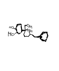 OCC1(c2ccc(O)c(O)c2)CCCC(CCc2ccccc2)N1